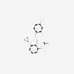 CCC(=O)N(CC)c1cccc(C2CC2)c1COc1ccc(C)cc1C